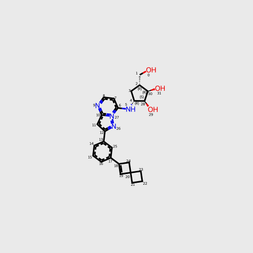 OC[C@H]1C[C@@H](Nc2ccnc3cc(-c4cccc(C5=CC6(CCC6)C5)c4)nn23)[C@H](O)[C@@H]1O